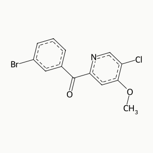 COc1cc(C(=O)c2cccc(Br)c2)ncc1Cl